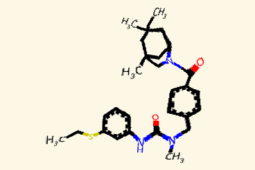 CCSc1cccc(NC(=O)N(C)Cc2ccc(C(=O)N3CC4(C)CC3CC(C)(C)C4)cc2)c1